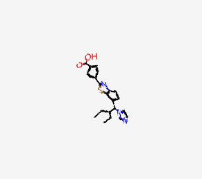 CCC(CC)C(c1ccc2nc(-c3ccc(C(=O)O)cc3)sc2c1)n1ccnc1